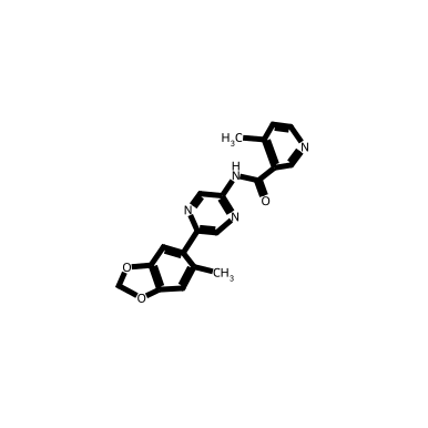 Cc1ccncc1C(=O)Nc1cnc(-c2cc3c(cc2C)OCO3)cn1